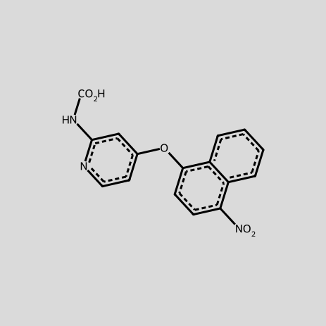 O=C(O)Nc1cc(Oc2ccc([N+](=O)[O-])c3ccccc23)ccn1